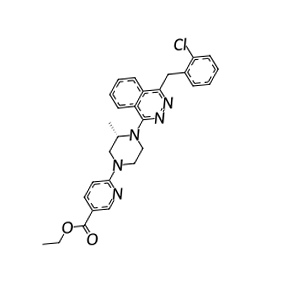 CCOC(=O)c1ccc(N2CCN(c3nnc(Cc4ccccc4Cl)c4ccccc34)[C@@H](C)C2)nc1